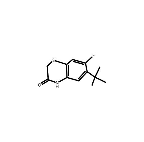 CC(C)(C)c1cc2c(cc1F)SCC(=O)N2